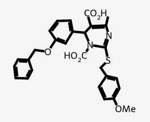 COc1ccc(CSC2=NC(C)=C(C(=O)O)C(c3cccc(OCc4ccccc4)c3)N2C(=O)O)cc1